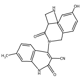 Cc1ccc2c(N(Cc3ccc(O)cc3)C(=O)C3CNC3)c(C#N)c(=O)[nH]c2c1